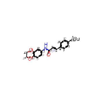 CCCCc1ccc(/C=C/C(=O)Nc2ccc3c(c2)OCCO3)cc1